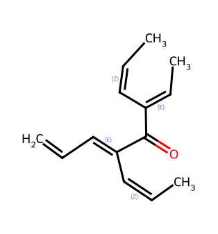 C=C/C=C(\C=C/C)C(=O)C(/C=C\C)=C/C